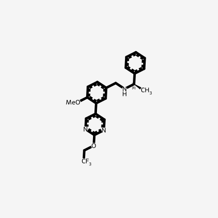 COc1ccc(CN[C@H](C)c2ccccc2)cc1-c1cnc(OCC(F)(F)F)nc1